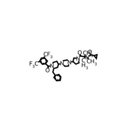 CN(C(=O)C1CC1)C(C)(C)C(=O)N1CCC(N2CCN(C3CCN(C(=O)c4cc(C(F)(F)F)cc(C(F)(F)F)c4)C(Cc4ccccc4)C3)CC2)C1